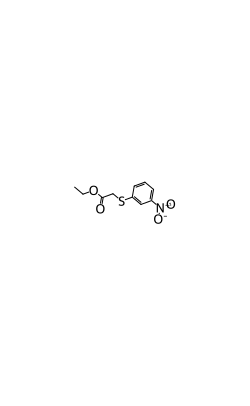 CCOC(=O)CSc1cccc([N+](=O)[O-])c1